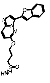 N=[SH](=O)CCCOc1ccc2ncc(-c3cc4ccccc4o3)n2n1